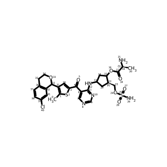 Cc1sc(C(=O)c2cncnc2NC2CC(OC(=O)[C@H](C)N)[C@@H](COS(N)(=O)=O)C2)cc1C1OCCc2ccc(Cl)cc21